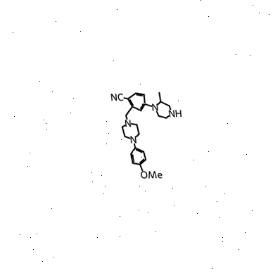 COc1ccc(N2CCN(Cc3cc(N4CCNCC4C)ccc3C#N)CC2)cc1